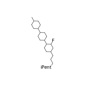 CCCC(C)CCCC1CCC(C2CCC(C3CCC(C)CC3)CC2)C(F)C1